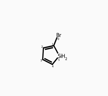 BrC1=CC=C[SiH2]1